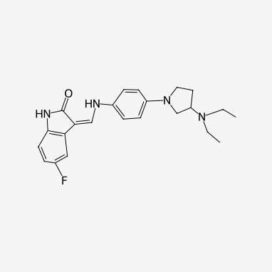 CCN(CC)C1CCN(c2ccc(NC=C3C(=O)Nc4ccc(F)cc43)cc2)C1